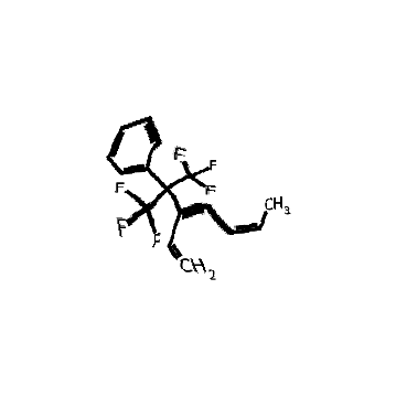 C=C/C(=C\C=C/C)C(c1ccccc1)(C(F)(F)F)C(F)(F)F